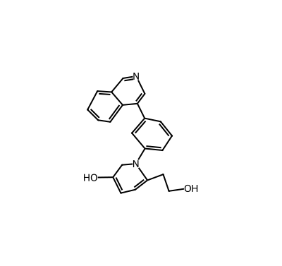 OCCC1=CC=C(O)CN1c1cccc(-c2cncc3ccccc23)c1